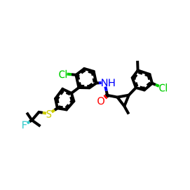 Cc1cc(Cl)cc(C2C(C)C2C(=O)Nc2ccc(Cl)c(-c3ccc(SCC(C)(C)F)cc3)c2)c1